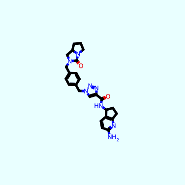 Nc1ccc2c(n1)CCC2NC(=O)c1cn(Cc2ccc(CN3CC4CCCN4C3=O)cc2)nn1